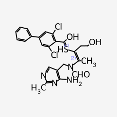 C/C(=C(CCO)/[SH]=C(\O)c1c(Cl)cc(-c2ccccc2)cc1Cl)N(C=O)Cc1cnc(C)nc1N